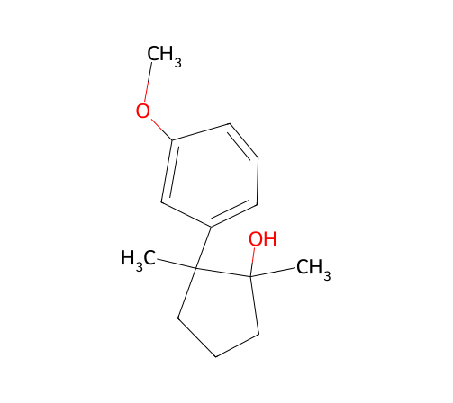 COc1cccc(C2(C)CCCC2(C)O)c1